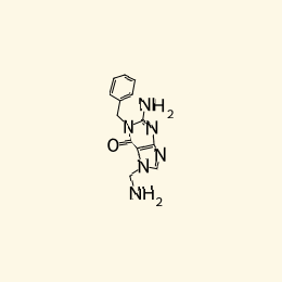 NCn1cnc2nc(N)n(Cc3ccccc3)c(=O)c21